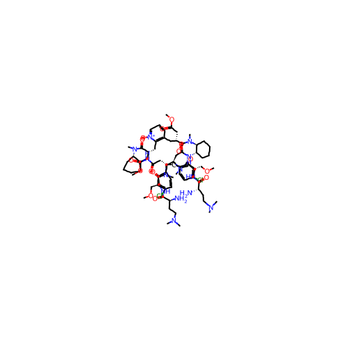 COC[C@H](NC(=O)[C@@H](N)CCN(C)C)C(=O)N(C)[C@H](CC(=O)N[C@H]1CCCC[C@@H]1N(C)C(=O)[C@@H](CC(=O)OC)Cc1ccc[n+]([O-])c1C[C@H](CC(=O)OC)C(=O)N(C)[C@H]1CCCC[C@@H]1NC(=O)C[C@H](Cc1ccc(Cl)cc1)N(C)C(=O)[C@H](COC)NC(=O)[C@@H](N)CCN(C)C)Cc1ccc(Cl)cc1